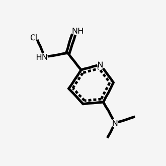 CN(C)c1ccc(C(=N)NCl)nc1